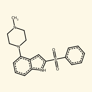 CN1CCN(c2cccc3[nH]c(S(=O)(=O)c4ccccc4)cc23)CC1